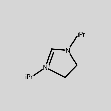 CC(C)N1C=[N+](C(C)C)CC1